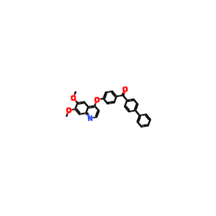 COc1cc2nccc(Oc3ccc(C(=O)c4ccc(-c5ccccc5)cc4)cc3)c2cc1OC